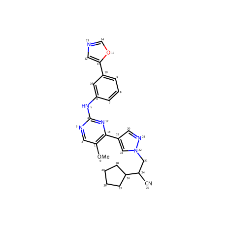 COc1cnc(Nc2cccc(-c3cnco3)c2)nc1-c1cnn(CC(C#N)C2CCCC2)c1